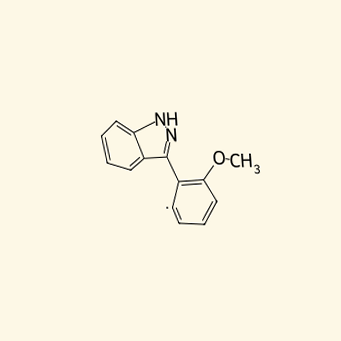 COc1ccc[c]c1-c1n[nH]c2ccccc12